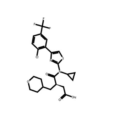 O=C(O)C[C@@H](CC1CCOCC1)C(=O)N(c1nc(-c2cc(C(F)(F)F)ccc2Cl)cs1)C1CC1